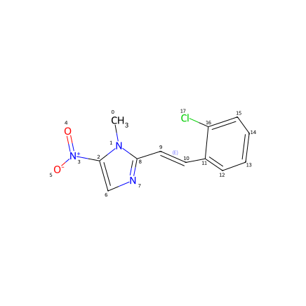 Cn1c([N+](=O)[O-])cnc1/C=C/c1ccccc1Cl